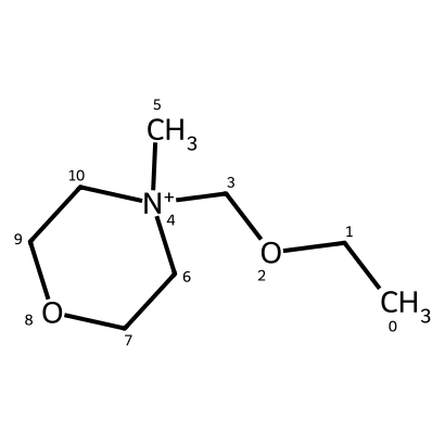 CCOC[N+]1(C)CCOCC1